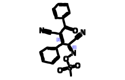 CS(=O)(=O)O/N=C(C#N)\C(=C(\C#N)C(=O)c1ccccc1)c1ccccc1